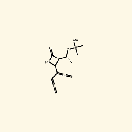 C=C=CC(=C=C)[C@H]1NC(=O)[C@H]1[C@@H](C)O[Si](C)(C)C(C)(C)C